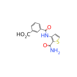 NC(=O)c1sccc1NC(=O)c1cccc(C(=O)O)c1